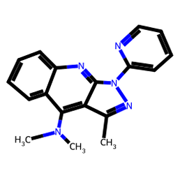 Cc1nn(-c2ccccn2)c2nc3ccccc3c(N(C)C)c12